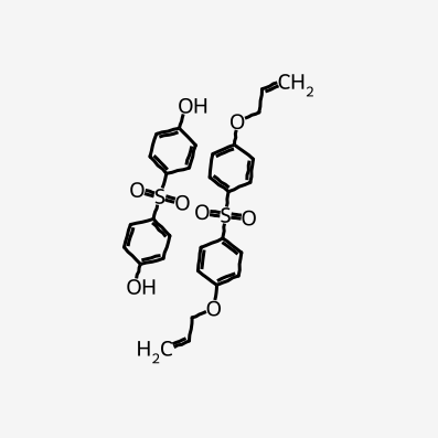 C=CCOc1ccc(S(=O)(=O)c2ccc(OCC=C)cc2)cc1.O=S(=O)(c1ccc(O)cc1)c1ccc(O)cc1